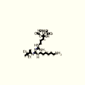 C=C(/N=C(\N=C(/N)NCCCC(O)(O[PH](=O)O)O[PH](=O)O)NCCCCCCN)C(C)(CC)CC